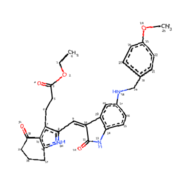 CCOC(=O)CCc1c(/C=C2\C(=O)Nc3ccc(NCc4ccc(OC)cc4)cc32)[nH]c2c1C(=O)CCC2